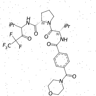 CC(C)C(NC(=O)[C@@H]1CCCN1C(=O)[C@@H](NC(=O)c1ccc(C(=O)N2CCOCC2)cc1)C(C)C)C(=O)C(F)(F)C(F)(F)F